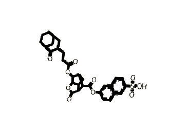 O=C(CCC1CC2CCCC(C2)C1=O)OC1C2CC3C1OC(=O)C3C2C(=O)Oc1ccc2cc(S(=O)(=O)O)ccc2c1